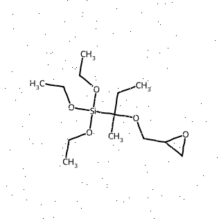 CCO[Si](OCC)(OCC)C(C)(CC)OCC1CO1